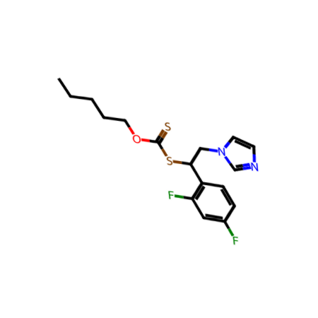 CCCCCOC(=S)SC(Cn1ccnc1)c1ccc(F)cc1F